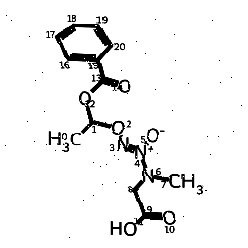 CC(ON=[N+]([O-])N(C)CC(=O)O)OC(=O)c1ccccc1